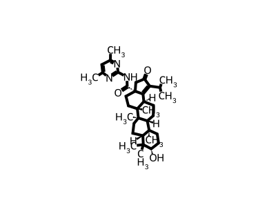 Cc1cc(C)nc(NC(=O)[C@@]23CC[C@]4(C)[C@H](CC[C@@H]5[C@@]6(C)CC[C@H](O)C(C)(C)[C@@H]6CC[C@]54C)C2=C(C(C)C)C(=O)C3)n1